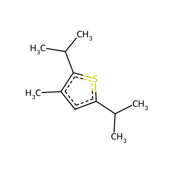 Cc1cc(C(C)C)sc1C(C)C